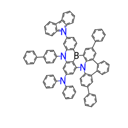 c1ccc(-c2ccc(N3c4cc(-n5c6ccccc6c6ccccc65)ccc4B4c5cc(-c6ccccc6)cc6c5N(c5ccc(-c7ccccc7)cc5-c5ccccc5-6)c5cc(N(c6ccccc6)c6ccccc6)cc3c54)cc2)cc1